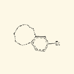 CCc1ccc2c(c1)CCCCCC2